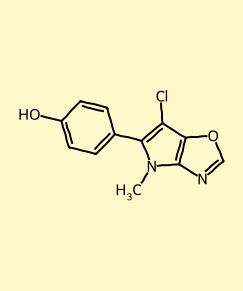 Cn1c(-c2ccc(O)cc2)c(Cl)c2ocnc21